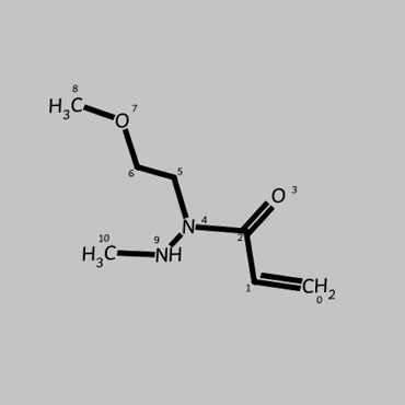 C=CC(=O)N(CCOC)NC